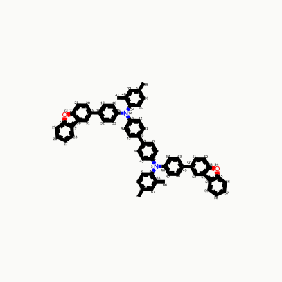 Cc1ccc(N(c2ccc(-c3ccc(N(c4ccc(-c5ccc6oc7ccccc7c6c5)cc4)c4ccc(C)cc4C)cc3)cc2)c2ccc(-c3ccc4oc5ccccc5c4c3)cc2)c(C)c1